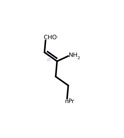 CCCCC/C(N)=C/[C]=O